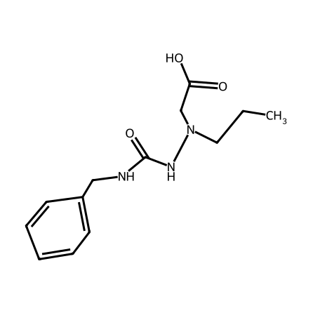 CCCN(CC(=O)O)NC(=O)NCc1ccccc1